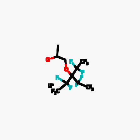 CC([O-])COC(C(F)(F)C(F)(F)F)(C(F)(F)C(F)(F)F)C(F)(F)C(F)(F)F.[Li+]